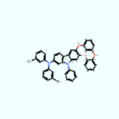 Cc1cccc(N(c2cccc(C)c2)c2ccc3c4cc5c(cc4n(-c4ccccc4)c3c2)B2c3ccccc3Oc3cccc(c32)O5)c1